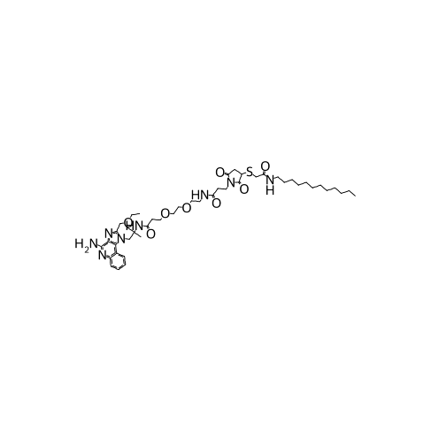 CCCCCCCCCCCCNC(=O)CSC1CC(=O)N(CCC(=O)NCCOCCOCCC(=O)NC(C)(C)Cn2c(COCC)nc3c(N)nc4ccccc4c32)C1=O